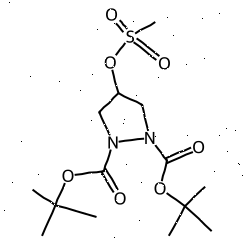 CC(C)(C)OC(=O)N1CC(OS(C)(=O)=O)CN1C(=O)OC(C)(C)C